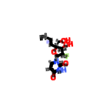 CC(C)/C=C/[C@]1(CO)O[C@@H](n2ccc(=O)[nH]c2=O)[C@H](F)[C@@H]1O